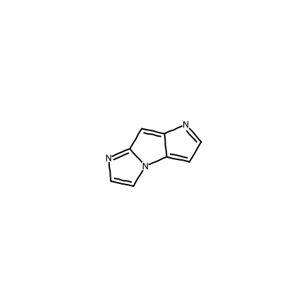 C1=Nc2cc3nccn3c2=C1